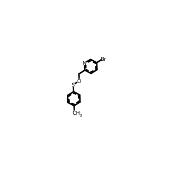 Cc1ccc(SOCc2ccc(Br)cn2)cc1